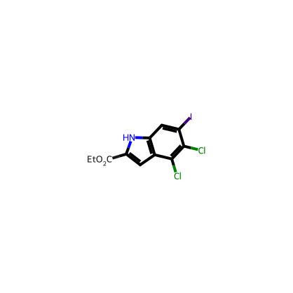 CCOC(=O)c1cc2c(Cl)c(Cl)c(I)cc2[nH]1